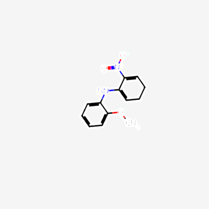 COc1ccccc1NC1=CCCC=C1[N+](=O)[O-]